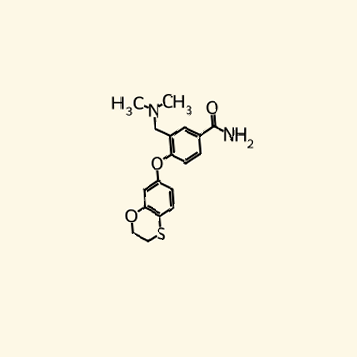 CN(C)Cc1cc(C(N)=O)ccc1Oc1ccc2c(c1)OCCS2